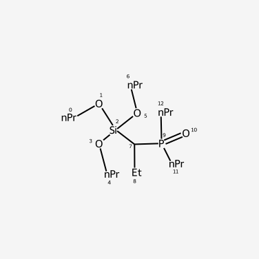 CCCO[Si](OCCC)(OCCC)C(CC)P(=O)(CCC)CCC